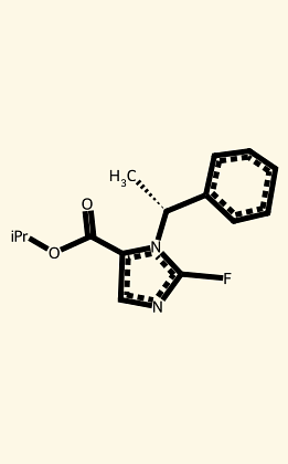 CC(C)OC(=O)c1cnc(F)n1[C@H](C)c1ccccc1